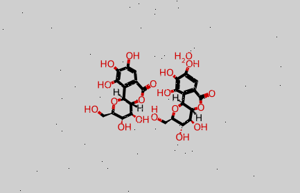 O.O=C1O[C@@H]2[C@@H](O)[C@H](O)[C@@H](CO)O[C@H]2c2c1cc(O)c(O)c2O.O=C1O[C@@H]2[C@@H](O)[C@H](O)[C@@H](CO)O[C@H]2c2c1cc(O)c(O)c2O